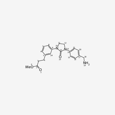 COC(=O)CCc1cccc(N2CCN(c3ccc(CN)cc3)C2=O)c1